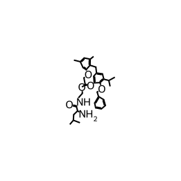 Cc1cc(C)c(Cc2ccc(OCc3ccccc3)c(C(C)C)c2)c(OCC(=O)OCCNC(=O)C(N)CC(C)C)c1